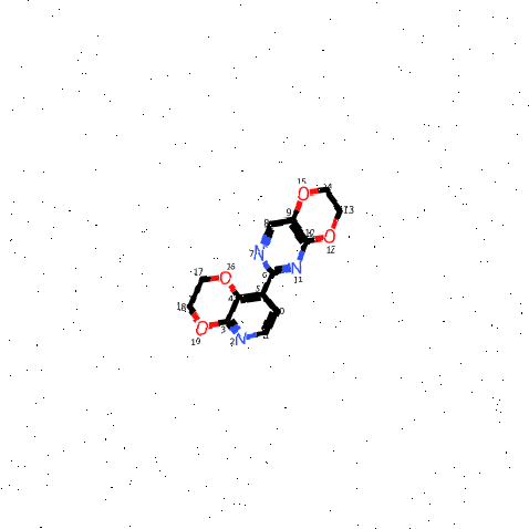 [c]1cnc2c(c1-c1ncc3c(n1)OCCO3)OCCO2